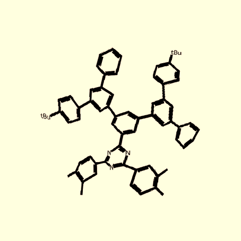 Cc1ccc(-c2nc(-c3cc(-c4cc(-c5ccccc5)cc(-c5ccc(C(C)(C)C)cc5)c4)cc(-c4cc(-c5ccccc5)cc(-c5ccc(C(C)(C)C)cc5)c4)c3)nc(-c3ccc(C)c(C)c3)n2)cc1C